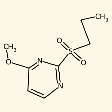 CCCS(=O)(=O)c1nccc(OC)n1